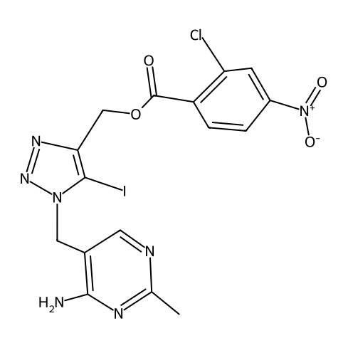 Cc1ncc(Cn2nnc(COC(=O)c3ccc([N+](=O)[O-])cc3Cl)c2I)c(N)n1